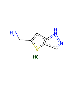 Cl.NCc1cc2[nH]ncc2s1